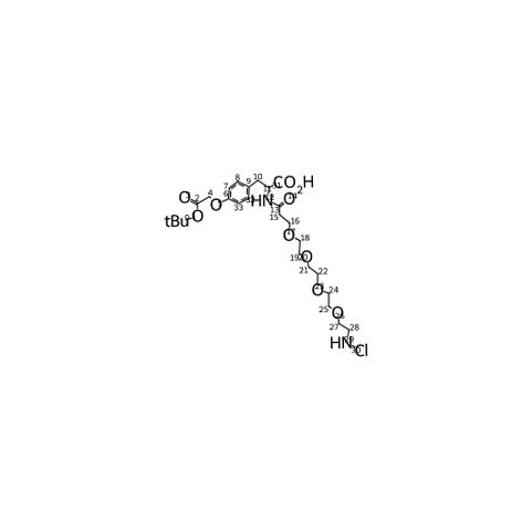 CC(C)(C)OC(=O)COc1ccc(CC(NC(=O)CCOCCOCCOCCOCCNCl)C(=O)O)cc1